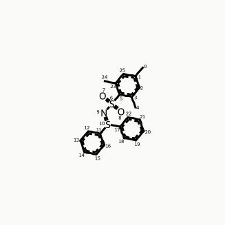 Cc1cc(C)c(S(=O)(=O)N=S(c2ccccc2)c2ccccc2)c(C)c1